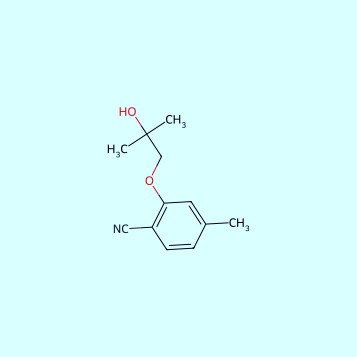 Cc1ccc(C#N)c(OCC(C)(C)O)c1